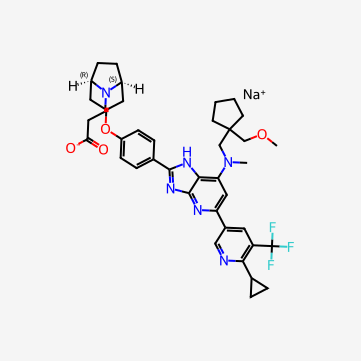 COCC1(CN(C)c2cc(-c3cnc(C4CC4)c(C(F)(F)F)c3)nc3nc(-c4ccc(OC5C[C@H]6CC[C@@H](C5)N6CCC(=O)[O-])cc4)[nH]c23)CCCC1.[Na+]